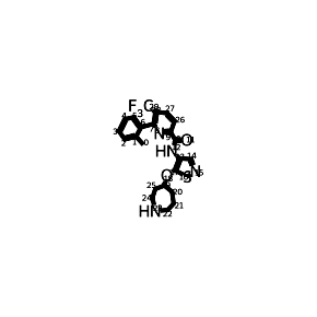 Cc1ccccc1-c1nc(C(=O)Nc2cnsc2OC2CCCNCC2)ccc1C(F)(F)F